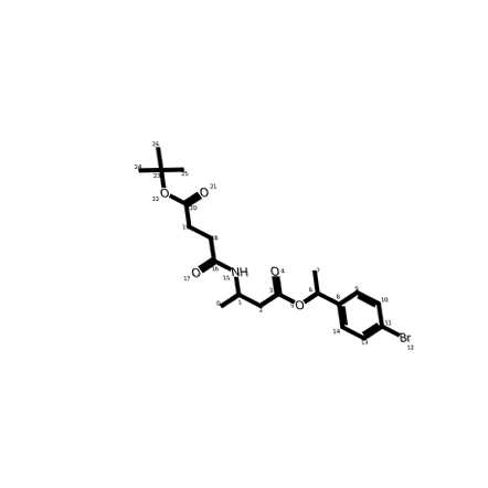 CC(CC(=O)OC(C)c1ccc(Br)cc1)NC(=O)CCC(=O)OC(C)(C)C